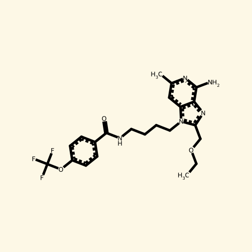 CCOCc1nc2c(N)nc(C)cc2n1CCCCNC(=O)c1ccc(OC(F)(F)F)cc1